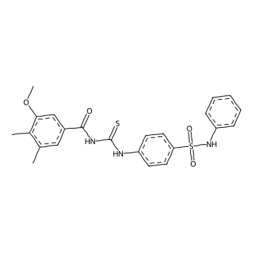 COc1cc(C(=O)NC(=S)Nc2ccc(S(=O)(=O)Nc3ccccc3)cc2)cc(C)c1C